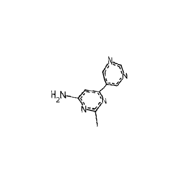 Cc1nc(N)cc(-c2cncnc2)n1